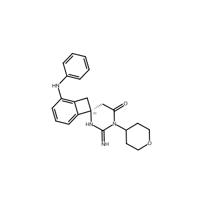 N=C1N[C@]2(CC(=O)N1C1CCOCC1)Cc1c(Nc3ccccc3)cccc12